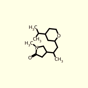 CC(C)C1CCOC(CC(C)C2CC(=O)N(C)C2)C1